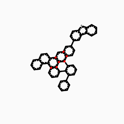 c1ccc(-c2ccccc2-c2c(-c3ccccc3)cccc2N(c2ccc(-c3ccc4sc5ccccc5c4c3)cc2)c2ccc3c(ccc4ccccc43)c2)cc1